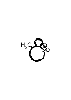 CC1C/C=C\C=C/CCS(=O)(=O)c2ccccc21